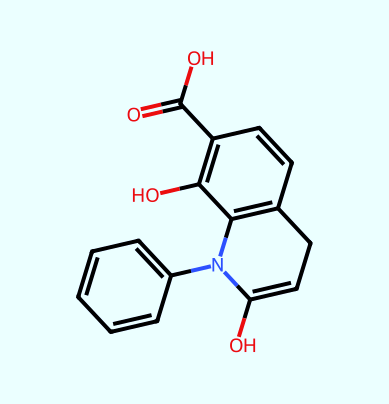 O=C(O)c1ccc2c(c1O)N(c1ccccc1)C(O)=CC2